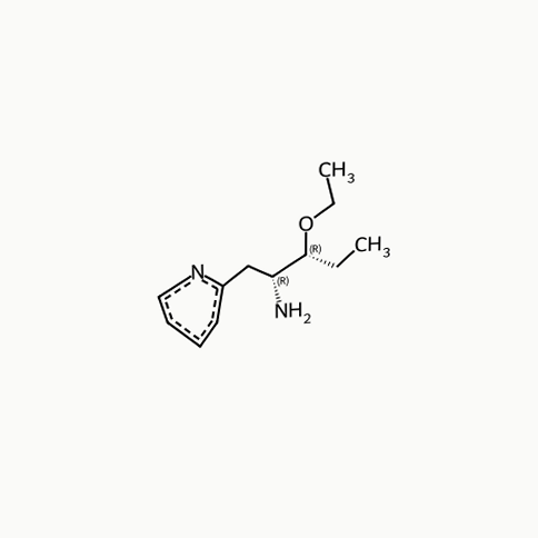 CCO[C@H](CC)[C@H](N)Cc1ccccn1